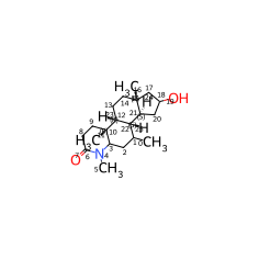 CC1CC2N(C)C(=O)CC[C@]2(C)[C@@H]2CC[C@]3(C)CC(O)C[C@H]3[C@H]12